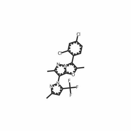 Cc1cc(C(F)(F)F)n(-c2c(C)nn3c(-c4ccc(Cl)cc4Cl)c(C)oc23)n1